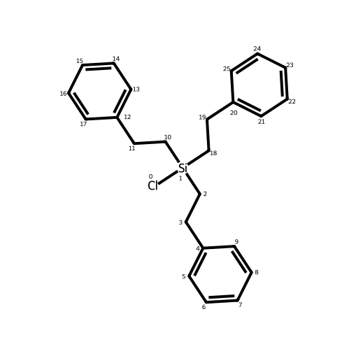 Cl[Si](CCc1ccccc1)(CCc1ccccc1)CCc1ccccc1